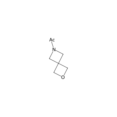 CC(=O)N1CC2(COC2)C1